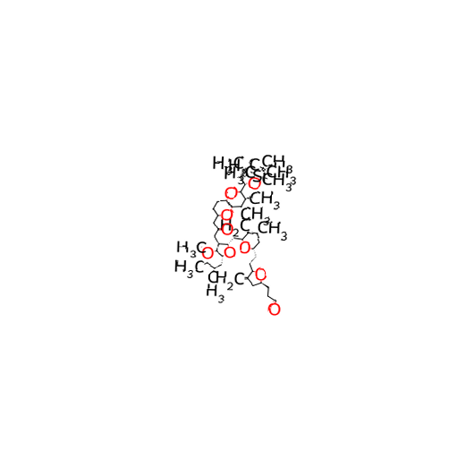 C=C1C[C@H](CCC=O)OC1CC[C@H]1C[C@@H](C)C(=C)C(C[C@@H]2O[C@H](C[C@H](C)CC)[C@H](OC)[C@H]2CC(=O)CC2CCC3O[C@@H]([C@H](/C=C/C)O[Si](C)(C)C(C)(C)C)[C@@H](C)[C@@H](C)C3O2)O1